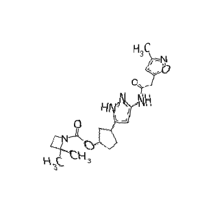 Cc1cc(CC(=O)Nc2cc(C3CCC(OC(=O)N4CCC4(C)C)C3)[nH]n2)on1